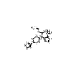 C=CCC(=O)N(c1ccsc1C(=O)O)[C@H]1CC[C@H](n2ccnn2)CC1